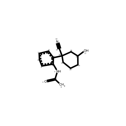 CC(=O)Nc1ccccc1C1(C#N)CCCC(O)C1